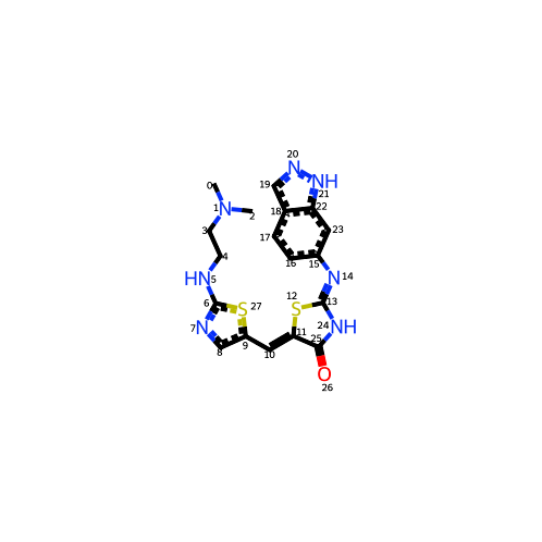 CN(C)CCNc1ncc(C=C2SC(=Nc3ccc4cn[nH]c4c3)NC2=O)s1